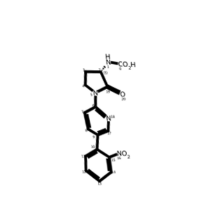 O=C(O)N[C@H]1CCN(c2ccc(-c3ccccc3[N+](=O)[O-])cn2)C1=O